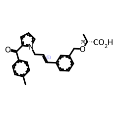 Cc1ccc(C(=O)c2cccn2C/C=C/c2cccc(CO[C@H](C)C(=O)O)c2)cc1